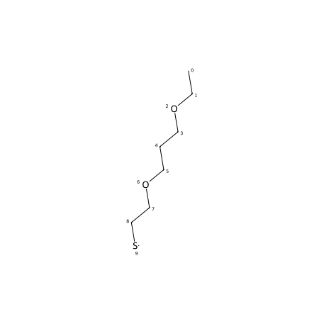 CCOCCCOCC[S]